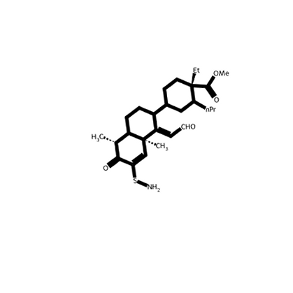 CCCC1CC(C2CCC3[C@@H](C)C(=O)C(SN)=C[C@]3(C)/C2=C/C=O)CC[C@]1(CC)C(=O)OC